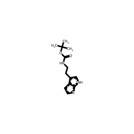 CC(C)(C)OC(=O)NCCc1c[nH]c2sccc12